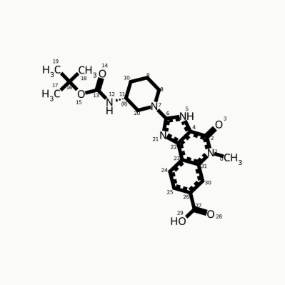 Cn1c(=O)c2[nH]c(N3CCC[C@@H](NC(=O)OC(C)(C)C)C3)nc2c2ccc(C(=O)O)cc21